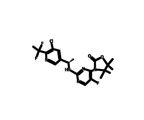 C[C@H](Nc1ncc(F)c(N2C(=O)OC(C)(C)C2(C)C)n1)c1cnc(C(C)(F)F)c(Cl)c1